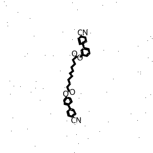 N#Cc1ccc(-c2ccc(OC(=O)CCCCCCCCCC(=O)Oc3cccc(C4=CCC(C#N)C=C4)c3)cc2)cc1